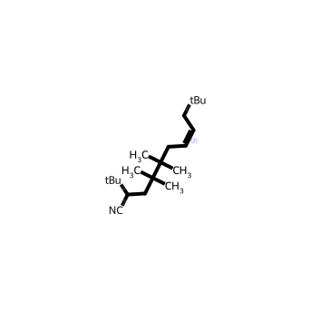 CC(C)(C)C/C=C\CC(C)(C)C(C)(C)CC(C#N)C(C)(C)C